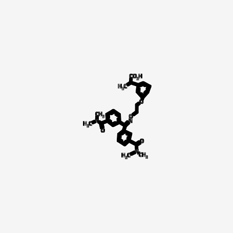 CC(C(=O)O)c1cccc(OCCON=C(c2cccc(C(=O)N(C)C)c2)c2cccc(C(=O)N(C)C)c2)c1